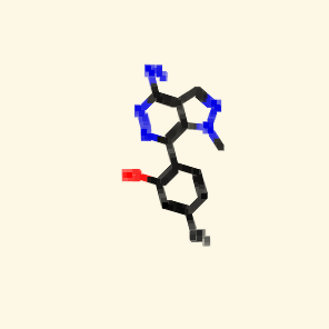 Cn1ncc2c(N)nnc(-c3ccc(C(F)(F)F)cc3O)c21